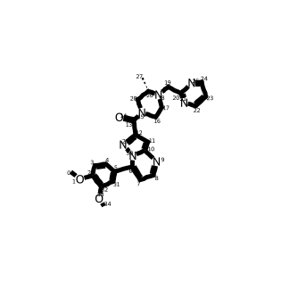 COc1ccc(-c2ccnc3cc(C(=O)N4CCN(Cc5ncccn5)[C@@H](C)C4)nn23)cc1OC